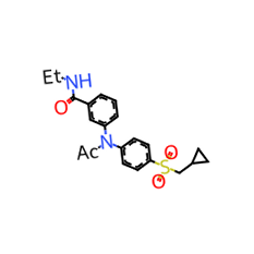 CCNC(=O)c1cccc(N(C(C)=O)c2ccc(S(=O)(=O)CC3CC3)cc2)c1